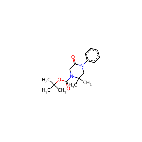 CC(C)(C)OC(=O)N1CC(=O)N(c2ccccc2)CC1(C)C